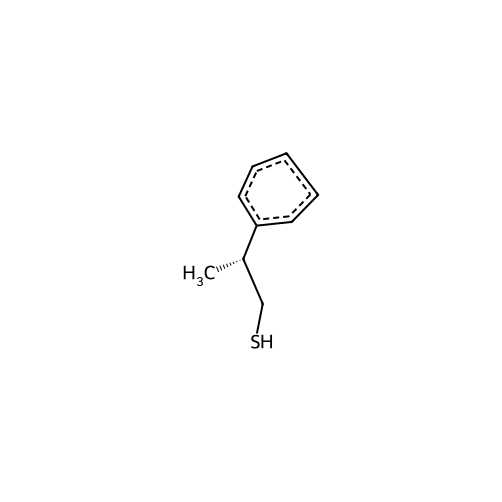 C[C@@H](CS)c1ccccc1